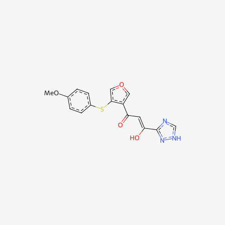 COc1ccc(Sc2cocc2C(=O)C=C(O)c2nc[nH]n2)cc1